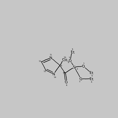 CCO[Si](OCC)(OCC)C(=O)C1(C)N=CC=N1